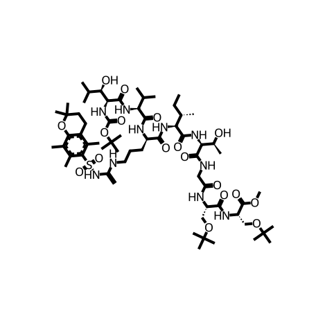 C=C(NCCC[C@@H](NC(=O)[C@@H](NC(=O)[C@@H](NC(=O)OC(C)(C)C)[C@H](O)C(C)C)C(C)C)C(=O)N[C@H](C(=O)N[C@H](C(=O)NCC(=O)N[C@@H](COC(C)(C)C)C(=O)N[C@@H](COC(C)(C)C)C(=O)OC)[C@H](C)O)[C@@H](C)CC)NS(=O)(=O)c1c(C)c(C)c2c(c1C)CCC(C)(C)O2